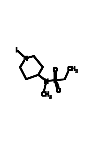 CCS(=O)(=O)N(C)C1CCN(I)CC1